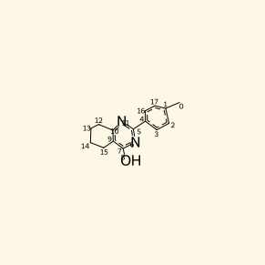 Cc1ccc(-c2nc(O)c3c(n2)CCCC3)cc1